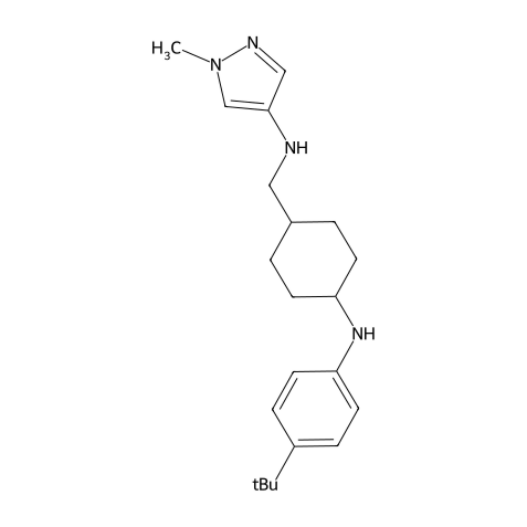 Cn1cc(NCC2CCC(Nc3ccc(C(C)(C)C)cc3)CC2)cn1